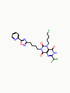 O=c1[nH]c(C(F)F)nc2c(=O)n(CCCCc3noc(-c4ccccn4)n3)c(=O)n(CCCCF)c12